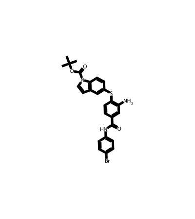 CC(C)(C)OC(=O)n1ccc2cc(Sc3ccc(C(=O)Nc4ccc(Br)cc4)cc3N)ccc21